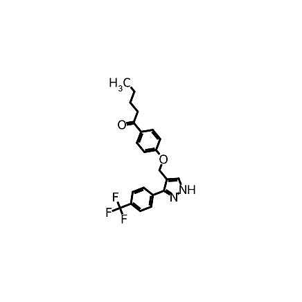 CCCCC(=O)c1ccc(OCc2c[nH]nc2-c2ccc(C(F)(F)F)cc2)cc1